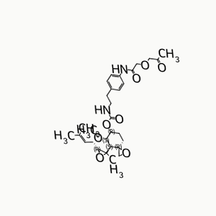 CO[C@H]1[C@H](C2(C)O[C@@H]2CC=C(C)C)[C@]2(CC[C@H]1OC(=O)NCCc1ccc(NC(=O)COCC(C)=O)cc1)CO2